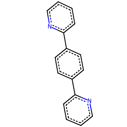 c1ccc(-c2ccc(-c3ccccn3)cc2)nc1